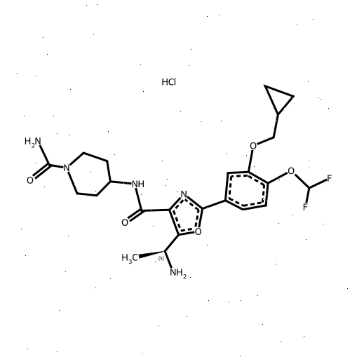 C[C@H](N)c1oc(-c2ccc(OC(F)F)c(OCC3CC3)c2)nc1C(=O)NC1CCN(C(N)=O)CC1.Cl